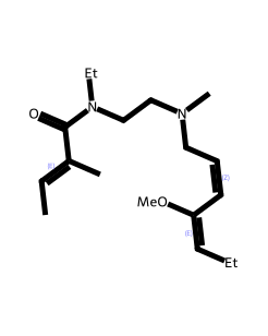 C/C=C(\C)C(=O)N(CC)CCN(C)C/C=C\C(=C/CC)OC